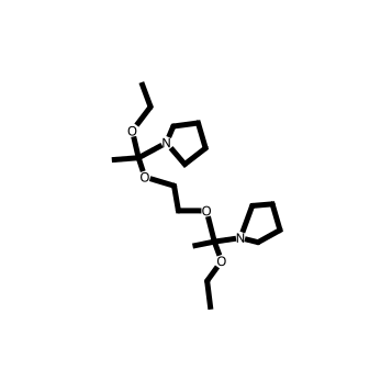 CCOC(C)(OCCOC(C)(OCC)N1CCCC1)N1CCCC1